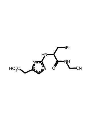 CC(C)CC(Nc1nc(CC(=O)O)cs1)C(=O)NCC#N